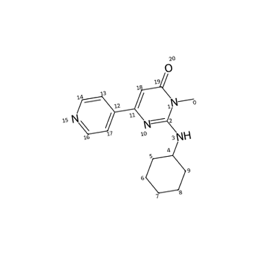 Cn1c(NC2CCCCC2)nc(-c2ccncc2)cc1=O